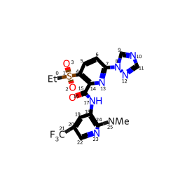 CCS(=O)(=O)c1ccc(-n2cncn2)nc1C(=O)Nc1cc(C(F)(F)F)cnc1NC